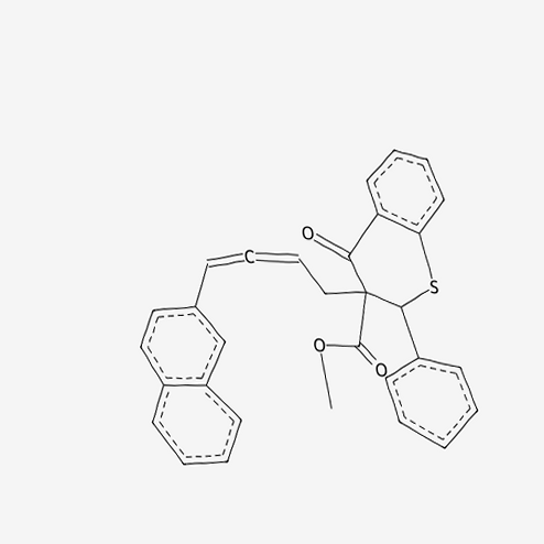 COC(=O)C1(CC=C=Cc2ccc3ccccc3c2)C(=O)c2ccccc2SC1c1ccccc1